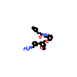 NCc1cccc(-c2cc(COc3ccccc3CNC(=O)CCc3ccccc3)cc3ccoc23)c1